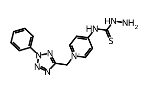 NNC(=S)Nc1cc[n+](Cc2nnn(-c3ccccc3)n2)cc1